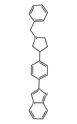 c1ccc(CN2CCC(c3ccc(-c4cn5ccccc5n4)cc3)C2)cc1